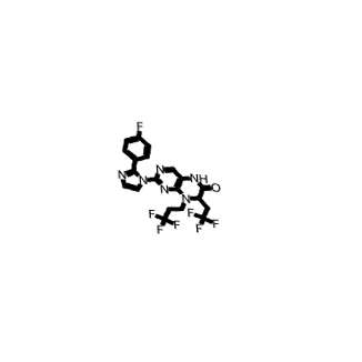 O=C1Nc2cnc(-n3ccnc3-c3ccc(F)cc3)nc2N(CCC(F)(F)F)C1CC(F)(F)F